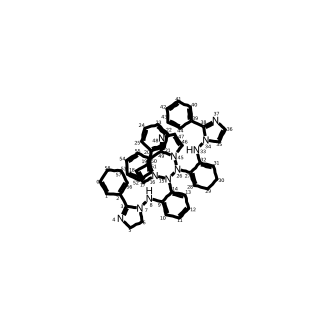 C1=CC(C2=NCCN2Nc2ccccc2N(N2C=CC2c2ccccc2)N(C2=CCCC=C2Nn2ccnc2-c2ccccc2)n2ccnc2-c2ccccc2)=CCC1